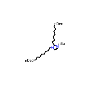 CCCCCCCCCCCCCCCCCCN1C=CN(CCCC)C1CCCCCCCCCCCCCCCCC